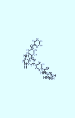 Nc1n[nH]c2cc(-c3ccc(C(=O)NC4=NNNN4)cc3)nc(-c3ccc(Oc4ccccc4)cc3)c12